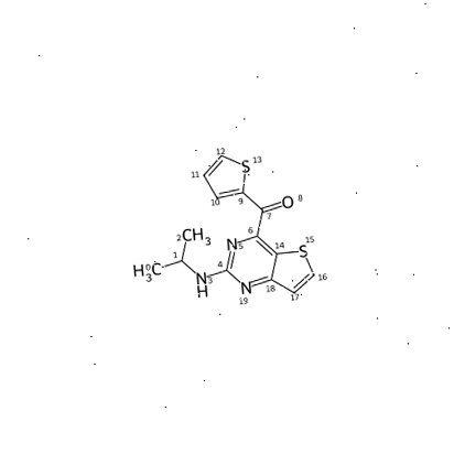 CC(C)Nc1nc(C(=O)c2cccs2)c2sccc2n1